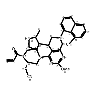 C=CC(=O)N1CCN(c2nc(OC)nc3c2C(C2CCNC2C)CN(c2cccc4cccc(Cl)c24)C3)C[C@@H]1CC#N